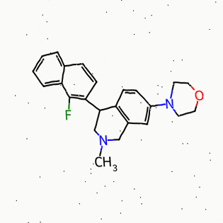 CN1Cc2cc(N3CCOCC3)ccc2C(c2ccc3ccccc3c2F)C1